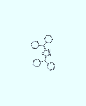 c1ccc(C(c2ccccc2)=c2nnc(=C(c3ccccc3)c3ccccc3)o2)cc1